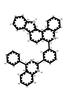 c1ccc(-c2nc(-c3cccc(-c4nc5ccccc5c5c4ccc4c6ccccc6oc45)c3)nc3ccccc23)cc1